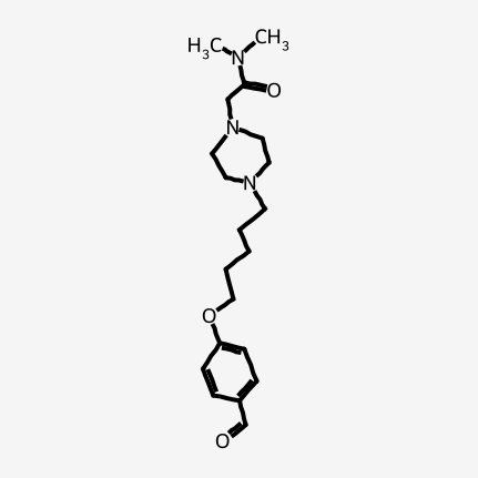 CN(C)C(=O)CN1CCN(CCCCCOc2ccc(C=O)cc2)CC1